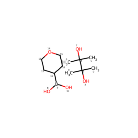 CC(C)(O)C(C)(C)O.OB(O)C1CCOCC1